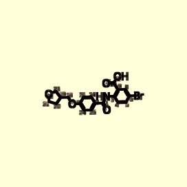 O=C(Nc1ccc(Br)cc1C(=O)O)c1ccc(OCC2CCOC2)cc1